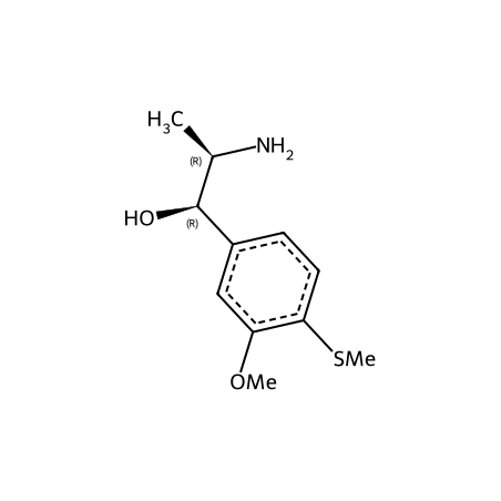 COc1cc([C@@H](O)[C@@H](C)N)ccc1SC